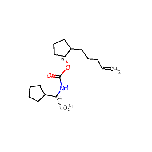 C=CCCCC1CCC[C@H]1OC(=O)N[C@H](C(=O)O)C1CCCC1